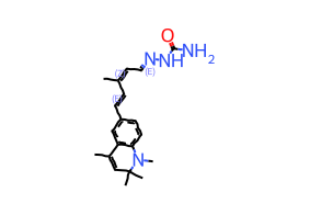 CC1=CC(C)(C)N(C)c2ccc(/C=C/C(C)=C\C=N\NC(N)=O)cc21